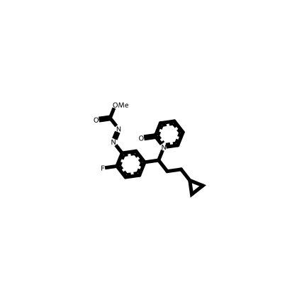 COC(=O)N=Nc1cc(C(CCC2CC2)n2ccccc2=O)ccc1F